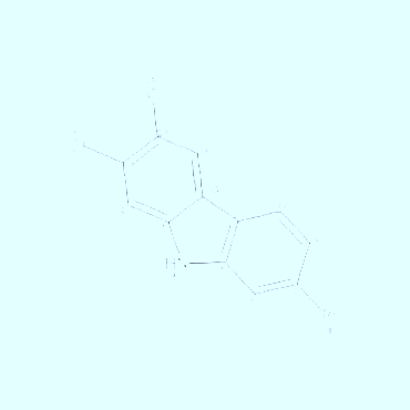 Clc1cc2[nH]c3cc(Br)ccc3c2cc1Cl